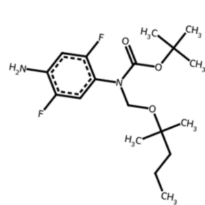 CCCC(C)(C)OCN(C(=O)OC(C)(C)C)c1cc(F)c(N)cc1F